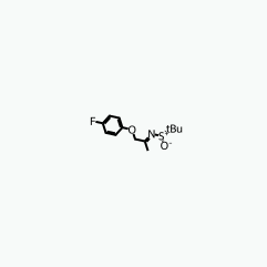 CC(COc1ccc(F)cc1)=N[S+]([O-])C(C)(C)C